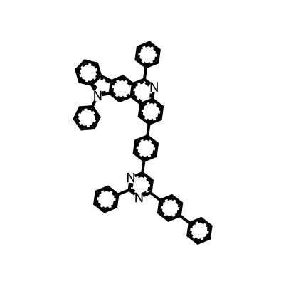 c1ccc(-c2ccc(-c3cc(-c4ccc(-c5ccc6nc(-c7ccccc7)c7cc8c9ccccc9n(-c9ccccc9)c8cc7c6c5)cc4)nc(-c4ccccc4)n3)cc2)cc1